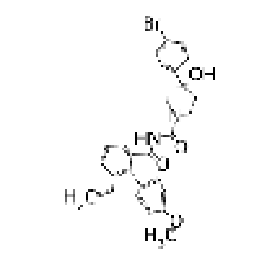 C=Cc1cccc(C(=O)NC(=O)N2CCC(O)(c3ccc(Br)cc3)CC2)c1-c1ccc(OC)cc1